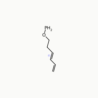 C=C/C=C/CCOP